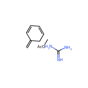 C=C1C=CC=CC1.COC(C)=O.N=C(N)N